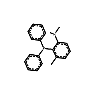 Cc1cccc(N(C)C)c1P(c1ccccc1)c1ccccc1